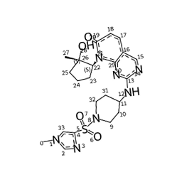 Cn1cnc(S(=O)(=O)N2CCC(Nc3ncc4ccc(=O)n([C@H]5CCC[C@]5(C)O)c4n3)CC2)c1